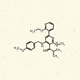 CCOc1ncccc1-c1cc(NCc2ccc(OC)cc2)c(C(=N)C(C)C)c(NC)n1